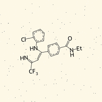 CCNC(=O)c1ccc(/C(=C/C(=N)C(F)(F)F)Nc2ccccc2Cl)cc1